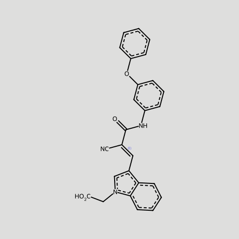 N#C/C(=C\c1cn(CC(=O)O)c2ccccc12)C(=O)Nc1cccc(Oc2ccccc2)c1